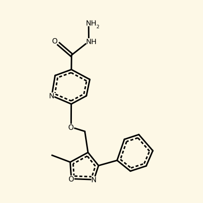 Cc1onc(-c2ccccc2)c1COc1ccc(C(=O)NN)cn1